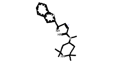 CN(C(=N)/C=C\C(=N)c1cc2ccccc2s1)C1CC(C)(C)NC(C)(C)C1